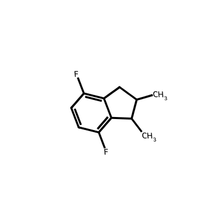 CC1Cc2c(F)ccc(F)c2C1C